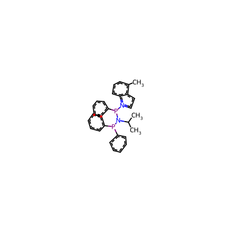 Cc1cccc2c1ccn2P(c1ccccc1)N(C(C)C)P(c1ccccc1)c1ccccc1